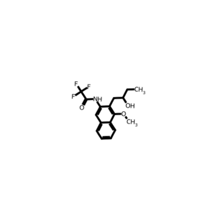 CCC(O)Cc1c(NC(=O)C(F)(F)F)cc2ccccc2c1OC